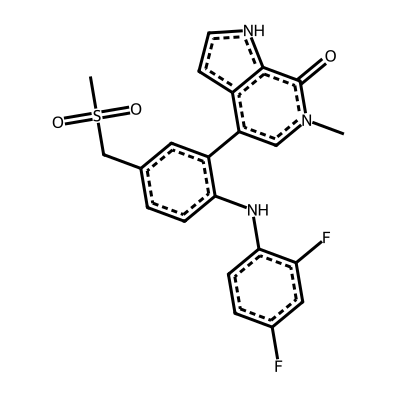 Cn1cc(-c2cc(CS(C)(=O)=O)ccc2Nc2ccc(F)cc2F)c2cc[nH]c2c1=O